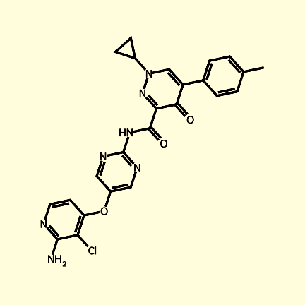 Cc1ccc(-c2cn(C3CC3)nc(C(=O)Nc3ncc(Oc4ccnc(N)c4Cl)cn3)c2=O)cc1